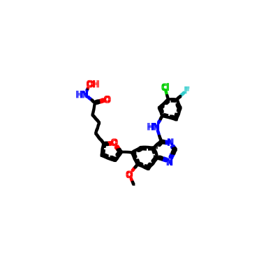 COc1cc2ncnc(Nc3ccc(F)c(Cl)c3)c2cc1-c1ccc(CCCC(=O)NO)o1